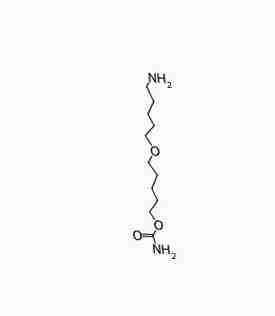 NCCCCCOCCCCCOC(N)=O